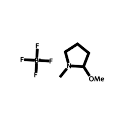 COC1CCCN1C.F[B-](F)(F)F